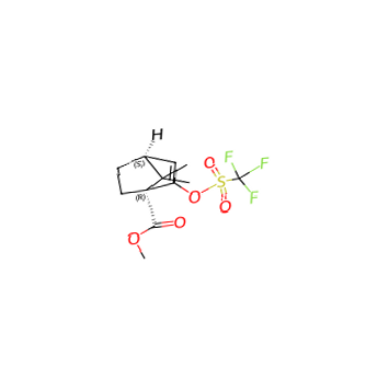 COC(=O)[C@@]12CC[C@@H](C=C1OS(=O)(=O)C(F)(F)F)C2(C)C